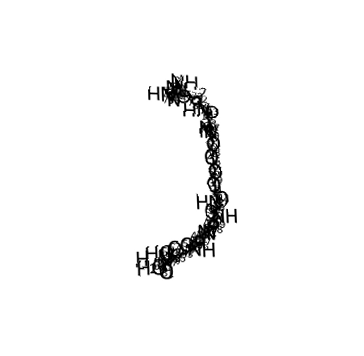 Nc1nc(OCc2ccc(CNC(=O)CCc3cn(CCOCCOCCOCCOCCC(=O)NCC(=O)Nc4ccc(N=Nc5ccc(NC(=O)CCC[C@@H](C[C@H](N)C(=O)O)C(=O)O)cc5)cc4)nn3)cc2)c2nc[nH]c2n1